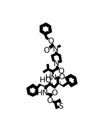 CC(C)[C@H](NC(=O)[C@@H](Cc1ccccc1)C[C@@H](O)[C@H](Cc1ccccc1)NC(=O)OC1CSC1)C(=O)N1CCC(N(C)C(=O)OCc2ccccc2)CC1